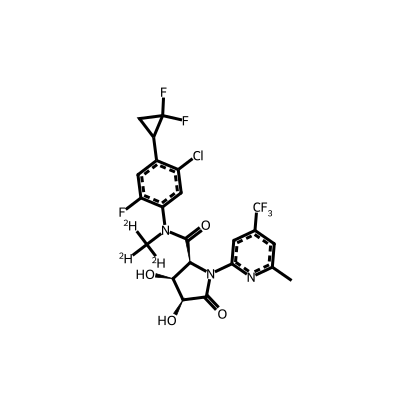 [2H]C([2H])([2H])N(C(=O)[C@@H]1[C@H](O)[C@H](O)C(=O)N1c1cc(C(F)(F)F)cc(C)n1)c1cc(Cl)c(C2CC2(F)F)cc1F